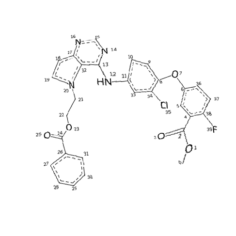 COC(=O)c1cc(Oc2ccc(Nc3ncnc4ccn(CCOC(=O)c5ccccc5)c34)cc2Cl)ccc1F